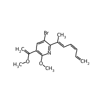 C=C/C=C\C=C(/C)c1nc(OC)c(C(=C)OC)cc1Br